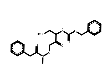 CN(OCC(=O)C(CC(=O)O)NC(=O)OCc1ccccc1)C(=O)Cc1ccccc1